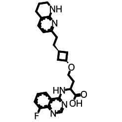 O=C(O)C(CCO[C@H]1C[C@H](CCc2ccc3c(n2)NCCC3)C1)Nc1ncnc2c(F)cccc12